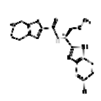 COC[C@H](NC(=O)c1cc2c(s1)CNCC2)c1nc2cc(Cl)ccc2[nH]1